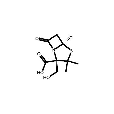 CC1(C)S[C@@H]2CC(=O)N2[C@@]1(CO)C(=O)O